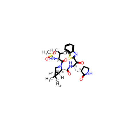 CC(C)[C@H](NS(C)(=O)=O)C(=O)N1C[C@H]2[C@@H]([C@H]1C(=O)N[C@@H](C[C@@H]1CCNC1=O)C(=O)c1nc3ccccc3s1)C2(C)C